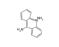 N.Nc1c2ccccc2nc2ccccc12